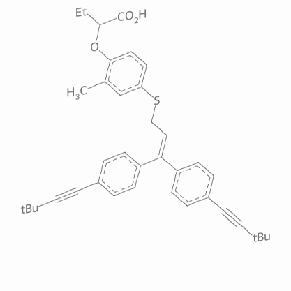 CCC(Oc1ccc(SCC=C(c2ccc(C#CC(C)(C)C)cc2)c2ccc(C#CC(C)(C)C)cc2)cc1C)C(=O)O